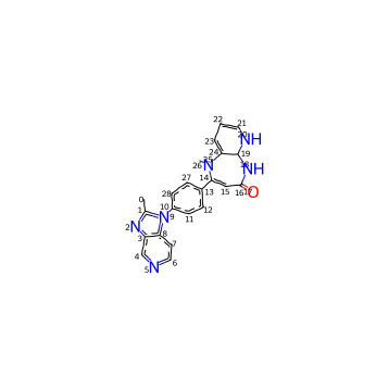 Cc1nc2cnccc2n1-c1ccc(C2=CC(=O)NC3NC=CC=C3N2C)cc1